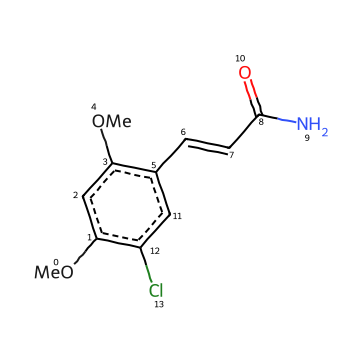 COc1cc(OC)c(C=CC(N)=O)cc1Cl